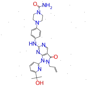 C=CCn1c(=O)c2cnc(Nc3ccc(N4CCN(C(N)=O)CC4)cc3)nc2n1-c1cccc(C(C)(C)O)n1